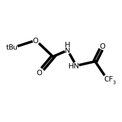 CC(C)(C)OC(=O)NNC(=O)C(F)(F)F